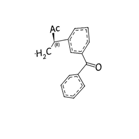 [CH2][C@@H](C(C)=O)c1cccc(C(=O)c2ccccc2)c1